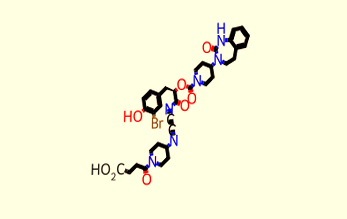 O=C(O)CCC(=O)N1CCC(N=C=C=NC(=O)[C@@H](Cc2ccc(O)c(Br)c2)OC(=O)N2CCC(N3CCc4ccccc4NC3=O)CC2)CC1